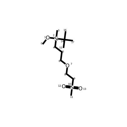 CO[Si](C)(CCCOCCS(C)(=O)=O)C(C)(C)C